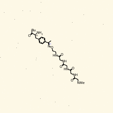 CCC(C)C(=O)[C@@H](N)Cc1ccc(/C(C)=N/OCCNC(=O)CNC(=O)CNC(=O)CNC(=O)CNC)cc1